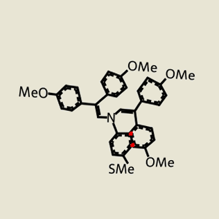 COc1ccc(C(=CN(C=C(c2ccc(OC)cc2)c2ccc(OC)cc2)c2ccc(SC)cc2)c2ccc(OC)cc2)cc1